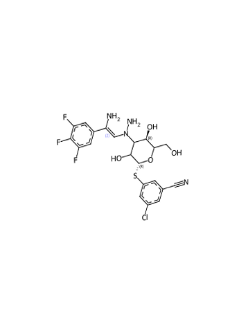 N#Cc1cc(Cl)cc(S[C@H]2OC(CO)[C@H](O)C(N(N)/C=C(\N)c3cc(F)c(F)c(F)c3)C2O)c1